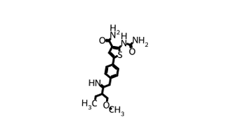 CCC(COC)C(=N)Cc1ccc(-c2cc(C(N)=O)c(NC(N)=O)s2)cc1